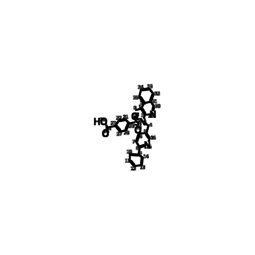 Cc1c(N(Cc2ccc(-c3ccccc3)nc2)S(=O)(=O)c2ccc(C(=O)O)cc2)ncc2ccccc12